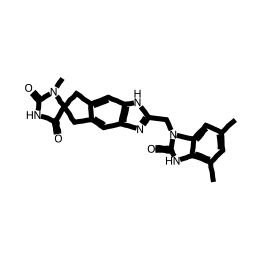 Cc1cc(C)c2[nH]c(=O)n(Cc3nc4cc5c(cc4[nH]3)CC3(C5)C(=O)NC(=O)N3C)c2c1